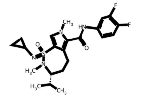 CC(C)[C@H]1CCc2c(cn(C)c2C(=O)Nc2ccc(F)c(F)c2)S(=O)(=NC2CC2)N1C